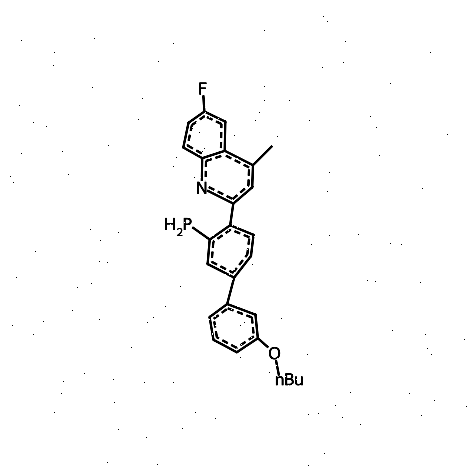 CCCCOc1cccc(-c2ccc(-c3cc(C)c4cc(F)ccc4n3)c(P)c2)c1